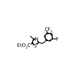 CCOC(=O)c1sc(Cc2cc(F)cc(C(F)(F)F)c2)nc1C